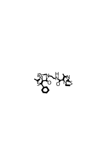 Cc1nc(C(=O)N(CCNC(=O)c2c(C)nc3sccn23)CC(C)C)c(-c2ccccc2)s1